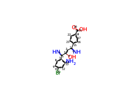 N=C(/C=C(\O)C(=N)c1ccc(Br)cc1N)c1ccc(C(=O)O)cc1